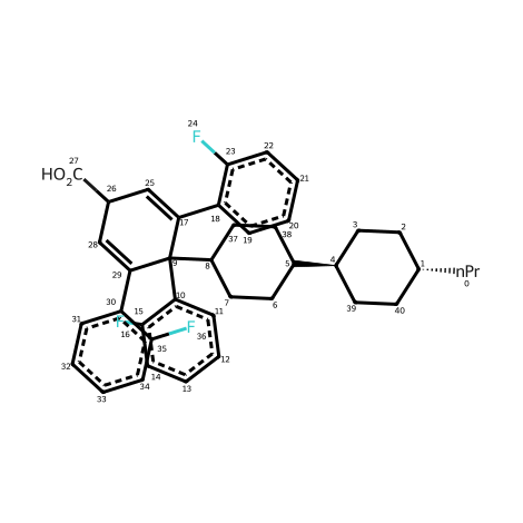 CCC[C@H]1CC[C@H](C2CCC(C3(c4ccccc4F)C(c4ccccc4F)=CC(C(=O)O)C=C3c3ccccc3F)CC2)CC1